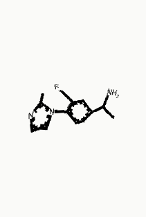 Cc1nccn1-c1ccc(C(C)N)cc1F